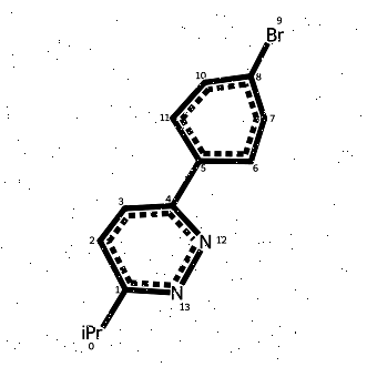 CC(C)c1ccc(-c2ccc(Br)cc2)nn1